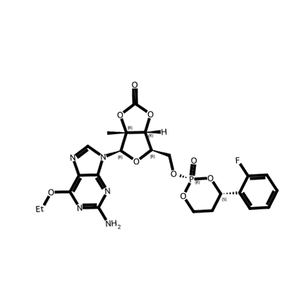 CCOc1nc(N)nc2c1ncn2[C@@H]1O[C@H](CO[P@@]2(=O)OCC[C@@H](c3ccccc3F)O2)[C@H]2OC(=O)O[C@]21C